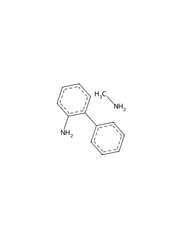 CN.Nc1ccccc1-c1ccccc1